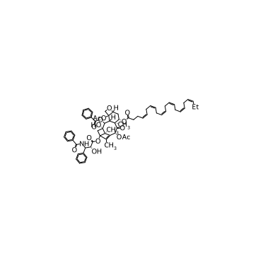 CC/C=C\C/C=C\C/C=C\C/C=C\C/C=C\C/C=C\CCC(=O)O[C@H]1C[C@H]2OC[C@@]2(OC(C)=O)[C@H]2[C@H](OC(=O)c3ccccc3)[C@]3(O)CC4(OC(=O)[C@H](O)C(NC(=O)c5ccccc5)c5ccccc5)C(C)=C([C@@H](OC(C)=O)C(=O)[C@]12C)[C@@]43C